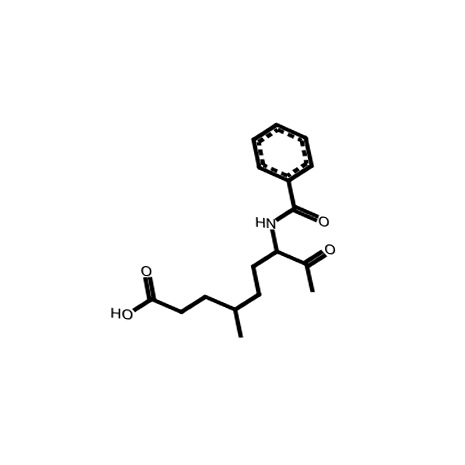 CC(=O)C(CCC(C)CCC(=O)O)NC(=O)c1ccccc1